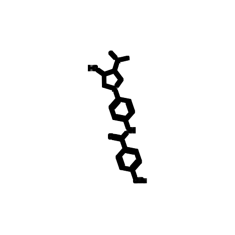 CC(C)COc1ccc(C(=O)Nc2ccc(N3CC(O)C(N(C)C)C3)cc2)cc1